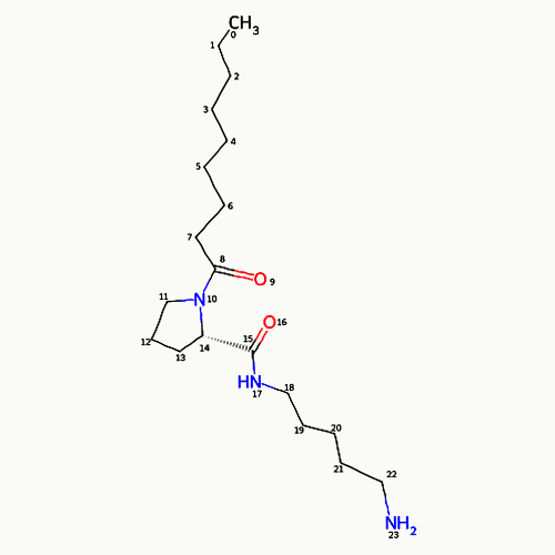 CCCCCCCCC(=O)N1CCC[C@H]1C(=O)NCCCCCN